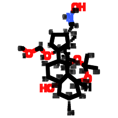 COCO[C@]12CC[C@H](C=NO)[C@@]1(C)C[C@@H](C)C1C2CC[C@]2(O)C[C@@H](C)C[C@H]3OC(C)(C)OC[C@]132